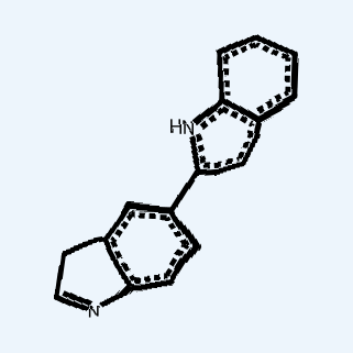 C1=Nc2ccc(-c3cc4ccccc4[nH]3)cc2C1